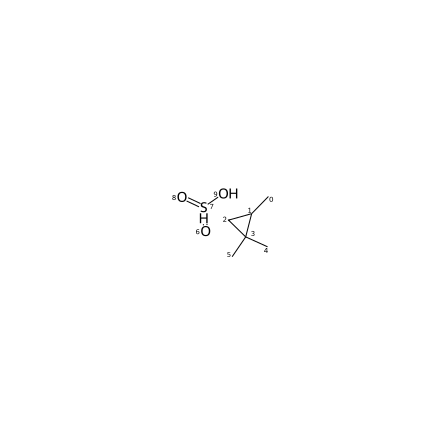 CC1CC1(C)C.O=[SH](=O)O